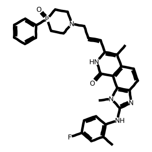 Cc1cc(F)ccc1Nc1nc2ccc3c(C)c(C=CCN4CCP(=O)(c5ccccc5)CC4)[nH]c(=O)c3c2n1C